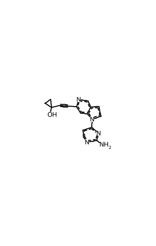 Nc1nccc(-n2ccc3cnc(C#CC4(O)CC4)cc32)n1